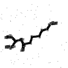 CCCCCCCCCCCCCCCC(=O)OC(CCCCCCCCCC)C(=O)O